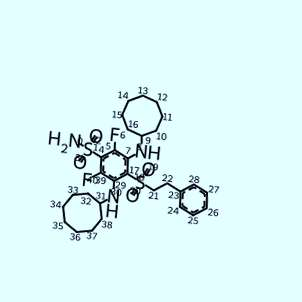 NS(=O)(=O)c1c(F)c(NC2CCCCCCC2)c(S(=O)(=O)CCc2ccccc2)c(NC2CCCCCCC2)c1F